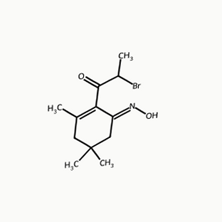 CC1=C(C(=O)C(C)Br)C(=NO)CC(C)(C)C1